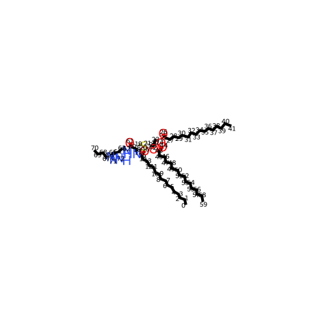 CCCCCCCCCCCCCCCC(=O)N[C@@H](CSC[C@H](COC(=O)CCCCCCCCCCCCCCC)OC(=O)CCCCCCCCCCCCCCC)C(=O)NCc1cn(CCCC)nn1